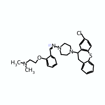 CN(C)CCOc1ccccc1/C=N\N1CCN(C2Cc3ccccc3Sc3ccc(Cl)cc32)CC1